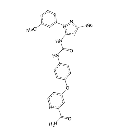 COc1cccc(-n2nc(C(C)(C)C)cc2NC(=O)Nc2ccc(Oc3ccnc(C(N)=O)c3)cc2)c1